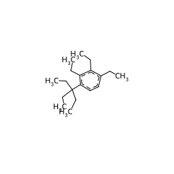 CCc1ccc(C(CC)(CC)CC)c(CC)c1CC